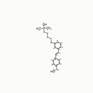 CC(C)(O)CCCCCc1cccc(C=Cc2ccc(CO)cc2)c1